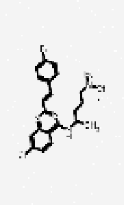 CCN(CC)CCCC(C)Nc1nc(/C=C/c2ccc(Br)cc2)nc2cc(Cl)ccc12